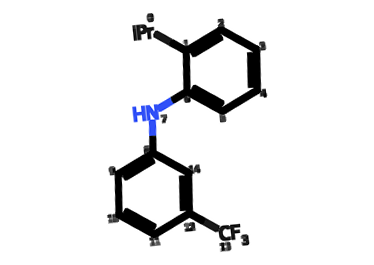 CC(C)c1ccccc1Nc1cccc(C(F)(F)F)c1